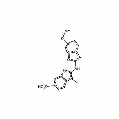 CCCOc1ccc2nc(Nc3nc4cc(C(=O)O)ccc4n3C)oc2c1